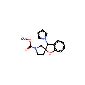 CCCCOC(=O)N1CCC2(C1)Oc1ccccc1C2n1cccc1